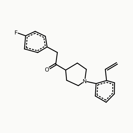 C=Cc1ccccc1N1CCC(C(=O)Cc2ccc(F)cc2)CC1